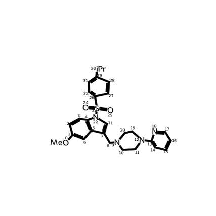 COc1ccc2c(c1)c(CN1CCN(c3ccccn3)CC1)cn2S(=O)(=O)c1ccc(C(C)C)cc1